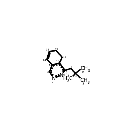 CC(C)(C)Cc1nncc2c1CCC=C2